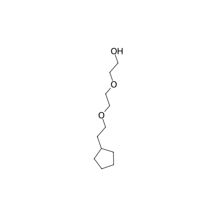 OCCOCCOCCC1CCCC1